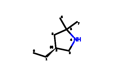 CC[C@H]1CNC(C)(C)C1